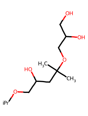 CC(C)OCC(O)CC(C)(C)OCC(O)CO